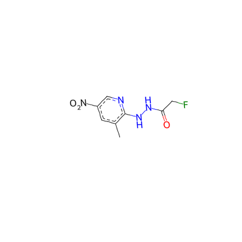 Cc1cc([N+](=O)[O-])cnc1NNC(=O)CF